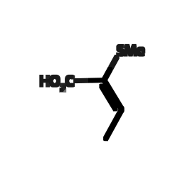 CC=C(SC)C(=O)O